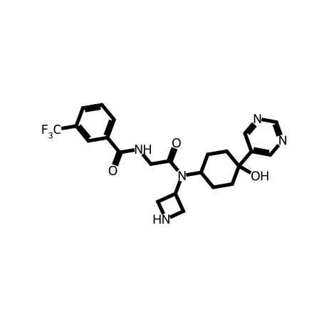 O=C(NCC(=O)N(C1CCC(O)(c2cncnc2)CC1)C1CNC1)c1cccc(C(F)(F)F)c1